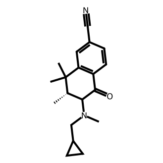 C[C@H]1C(N(C)CC2CC2)C(=O)c2ccc(C#N)cc2C1(C)C